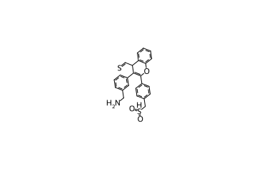 NCc1cccc(C2=C(c3ccc(C[SH](=O)=O)cc3)Oc3ccccc3C2C=S)c1